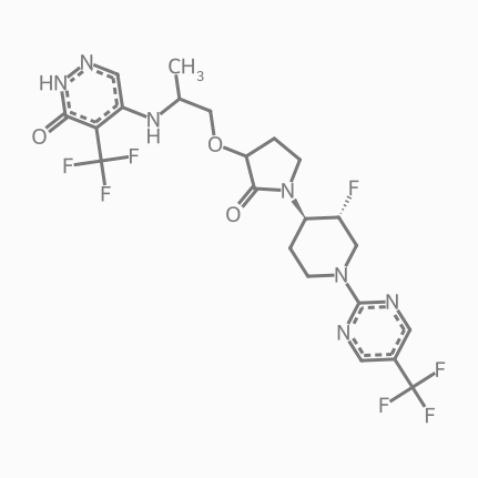 CC(COC1CCN([C@@H]2CCN(c3ncc(C(F)(F)F)cn3)C[C@H]2F)C1=O)Nc1cn[nH]c(=O)c1C(F)(F)F